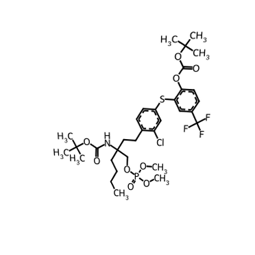 CCCCC(CCc1ccc(Sc2cc(C(F)(F)F)ccc2OC(=O)OC(C)(C)C)cc1Cl)(COP(=O)(OC)OC)NC(=O)OC(C)(C)C